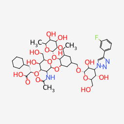 CCC1CC(CO[C@H]2OC(CO)[C@@H](O)C(n3cc(-c4cccc(F)c4)nn3)C2O)C[C@@H](O[C@@H]2OC(CO)[C@H](O)C(O[C@@H](CC3CCCCC3)C(=O)O)C2NC(C)=O)C1O[C@@H]1OC(C)[C@@H](O)C(O)C1O